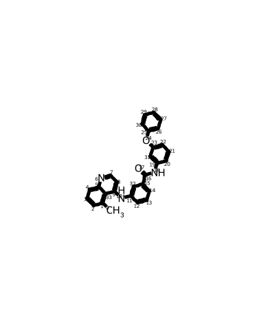 Cc1cccc2nccc(Nc3cccc(C(=O)Nc4cccc(Oc5ccccc5)c4)c3)c12